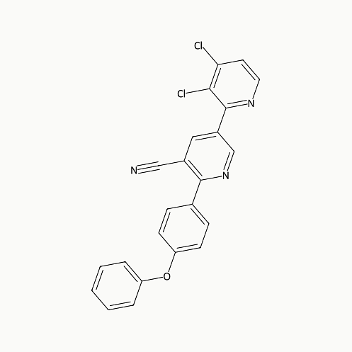 N#Cc1cc(-c2nccc(Cl)c2Cl)cnc1-c1ccc(Oc2ccccc2)cc1